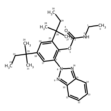 CCNC(=O)Oc1c(-n2nc3ccccc3n2)cc(C(C)(C)CC)cc1C(C)(C)CC